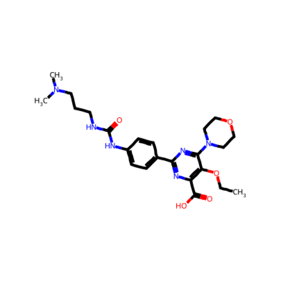 CCOc1c(C(=O)O)nc(-c2ccc(NC(=O)NCCCN(C)C)cc2)nc1N1CCOCC1